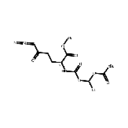 CCC(OC(=O)N[C@@H](CCC(=O)C=[N+]=[N-])C(=O)OC(C)C)OC(=O)C(C)(C)C